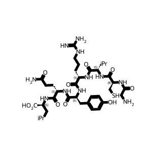 CC(C)C[C@H](NC(=O)[C@H](CCC(N)=O)NC(=O)[C@H](Cc1ccc(O)cc1)NC(=O)[C@H](CCCNC(=N)N)NC(=O)[C@@H](NC(=O)[C@H](CS)NC(=O)CN)C(C)C)C(=O)O